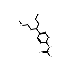 CCCC(CCNC)C1=CCC(OC(C)=O)C=C1